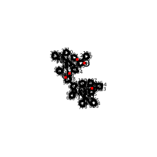 c1ccc([Si](c2ccccc2)(c2ccc3oc4ccccc4c3c2)c2nc(-n3c4ccccc4n4c5ccccc5nc34)nc(-n3c4ccccc4n4c5ccc(-c6ccc7c(c6)c6ccccc6n7-c6nc(-n7c8ccccc8n8c9ccccc9nc78)nc([Si](c7ccccc7)(c7ccccc7)c7cccc8c7oc7ccccc78)n6)cc5nc34)n2)cc1